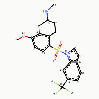 CN[C@H]1CCc2c(S(=O)(=O)n3ccc4ccc(C(F)(F)F)cc43)ccc(OC)c2C1